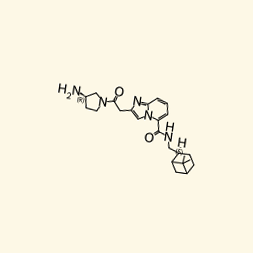 CC1(C)C2CC[C@H](CNC(=O)c3cccc4nc(CC(=O)N5CC[C@@H](N)C5)cn34)C1C2